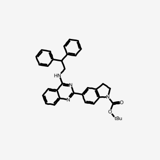 CC(C)(C)OC(=O)N1CCc2cc(-c3nc(NCC(c4ccccc4)c4ccccc4)c4ccccc4n3)ccc21